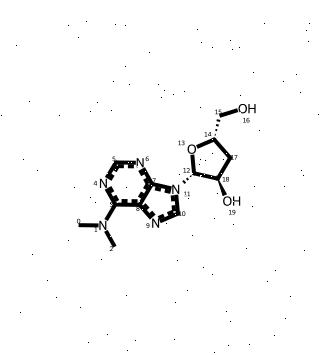 CN(C)c1ncnc2c1ncn2[C@@H]1O[C@H](CO)C[C@H]1O